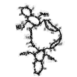 Nc1c2c(c(S(=O)(=O)O)c3ccccc13)N=NN=Nc1c(c(N)c3ccccc3c1S(=O)(=O)O)-c1ccc(cc1)-c1ccc-2cc1